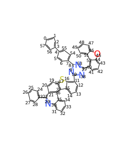 c1ccc(-c2ccc(-c3nc(-c4cccc5c4sc4ccc6c(-c7ccccc7)nc7ccccc7c6c45)nc(-c4cccc5oc6ccccc6c45)n3)cc2)cc1